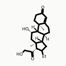 CCC1C[C@H]2[C@@H]3CCC4=CC(=O)CC[C@]4(C)[C@H]3[C@@H](O)C[C@]2(C)[C@H]1C(=O)CO